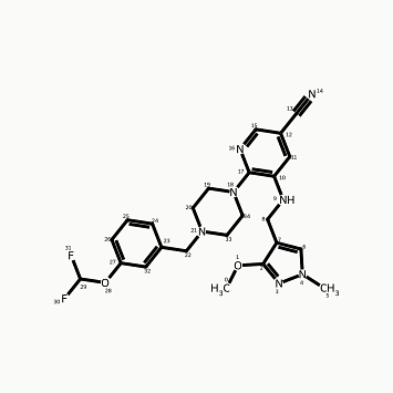 COc1nn(C)cc1CNc1cc(C#N)cnc1N1CCN(Cc2cccc(OC(F)F)c2)CC1